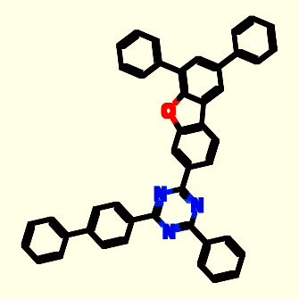 c1ccc(-c2ccc(-c3nc(-c4ccccc4)nc(-c4ccc5c(c4)oc4c(-c6ccccc6)cc(-c6ccccc6)cc45)n3)cc2)cc1